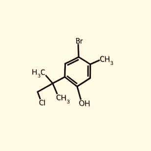 Cc1cc(O)c(C(C)(C)CCl)cc1Br